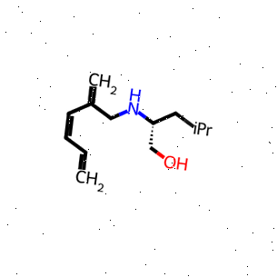 C=C/C=C\C(=C)CN[C@@H](CO)CC(C)C